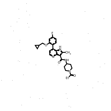 CCC(=O)N1CCC(NC(=O)c2c(C)[nH]c3c(-c4ccc(F)cc4OCC4CC4)ccnc23)CC1